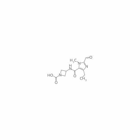 CCc1nc(C=O)n(C)c1C(=O)NC1CN(C(=O)O)C1